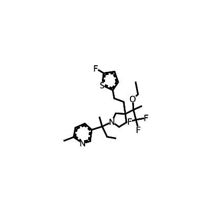 CCOC(C)(C(F)(F)F)C1(CCc2ccc(F)s2)CCN(C(C)(CC)c2ccc(C)nc2)C1